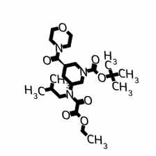 CCOC(=O)C(=O)N(CC(C)C)C1C[C@@H](C(=O)N2CCOCC2)CN(C(=O)OC(C)(C)C)C1